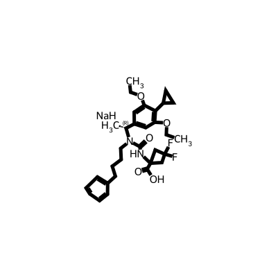 CCOc1cc([C@@H](C)N(CCCCc2ccccc2)C(=O)NC2(C(=O)O)CC(F)(F)C2)cc(OCC)c1C1CC1.[NaH]